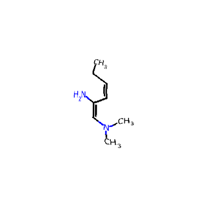 CC/C=C\C(N)=C/N(C)C